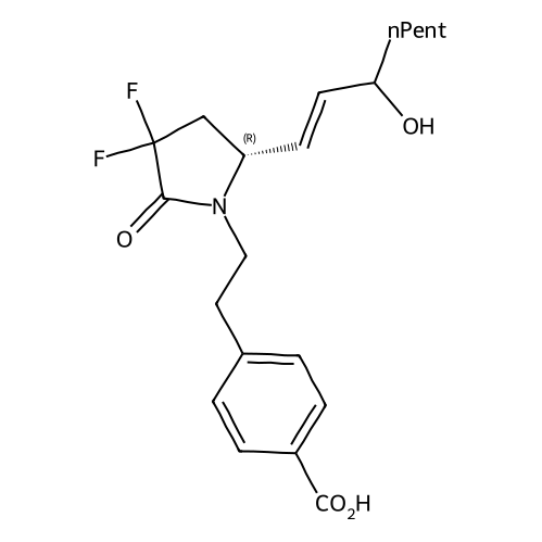 CCCCCC(O)C=C[C@H]1CC(F)(F)C(=O)N1CCc1ccc(C(=O)O)cc1